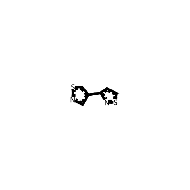 [c]1cc(-c2cnsc2)ns1